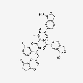 C[C@H](NC(=O)c1ccc2c(c1)B(O)OC2)[C@H](NC(=O)c1ccc2c(c1)B(O)OC2)C(=O)N[C@@H](CC(=O)ON1C(=O)CCC1=O)c1cccc(F)c1